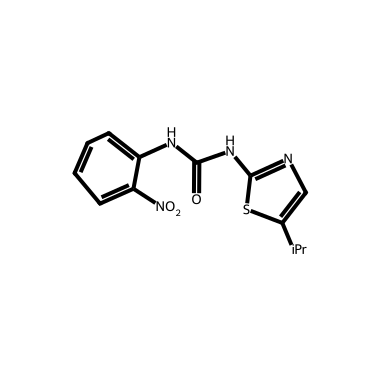 CC(C)c1cnc(NC(=O)Nc2ccccc2[N+](=O)[O-])s1